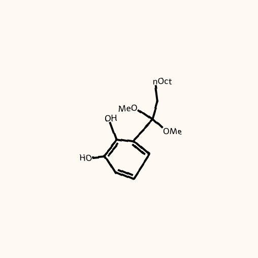 CCCCCCCCCC(OC)(OC)c1cccc(O)c1O